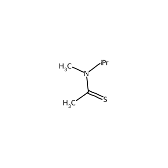 CC(=S)N(C)C(C)C